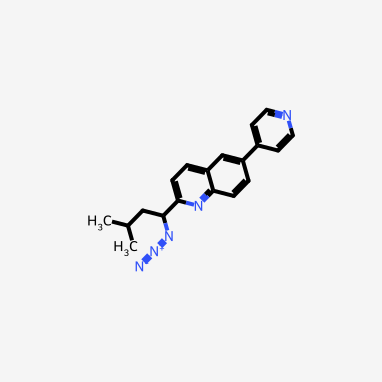 CC(C)CC(N=[N+]=[N-])c1ccc2cc(-c3ccncc3)ccc2n1